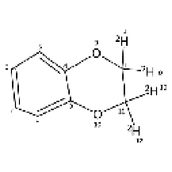 [2H]C1([2H])Oc2c[c]ccc2OC1([2H])[2H]